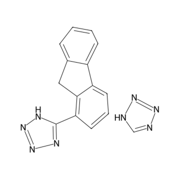 c1ccc2c(c1)Cc1c(-c3nnn[nH]3)cccc1-2.c1nnn[nH]1